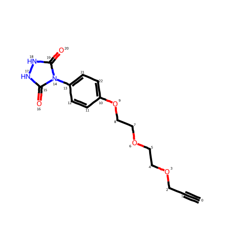 C#CCOCCOCCOc1ccc(-n2c(=O)[nH][nH]c2=O)cc1